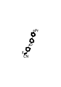 CCCc1ccc([C@H]2CC[C@H](OC[C@H]3CC[C@H](C=C(F)C#N)CC3)CC2)cc1